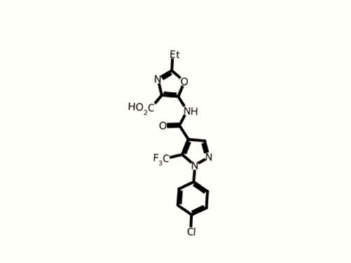 CCc1nc(C(=O)O)c(NC(=O)c2cnn(-c3ccc(Cl)cc3)c2C(F)(F)F)o1